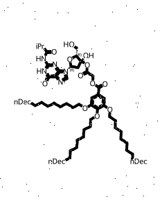 CCCCCCCCCCCCCCCCCCOc1cc(C(=O)OCC(=O)O[C@]2(O)C[C@H](n3cnc4c(=O)[nH]c(NC(=O)C(C)C)nc43)O[C@@H]2CO)cc(OCCCCCCCCCCCCCCCCCC)c1OCCCCCCCCCCCCCCCCCC